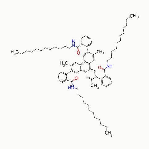 CCCCCCCCCCCCNC(=O)c1ccccc1-c1cc2c(cc1C)c1cc(-c3ccccc3C(=O)NCCCCCCCCCCCC)c(C)cc1c1cc(-c3ccccc3C(=O)NCCCCCCCCCCCC)c(C)cc21